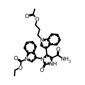 CCOC(=O)n1cc(-n2c(-c3cn(CCCOC(C)=O)c4ccccc34)c(C(N)=O)[nH]c2=O)c2ccccc21